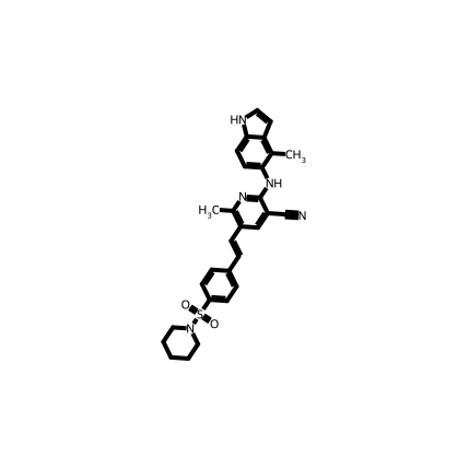 Cc1nc(Nc2ccc3[nH]ccc3c2C)c(C#N)cc1C=Cc1ccc(S(=O)(=O)N2CCCCC2)cc1